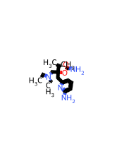 CCN(CC)CC(Cc1cccc(N)n1)(OC(N)=O)C(C)C